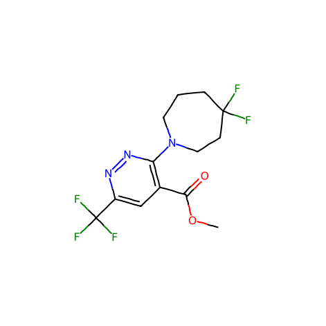 COC(=O)c1cc(C(F)(F)F)nnc1N1CCCC(F)(F)CC1